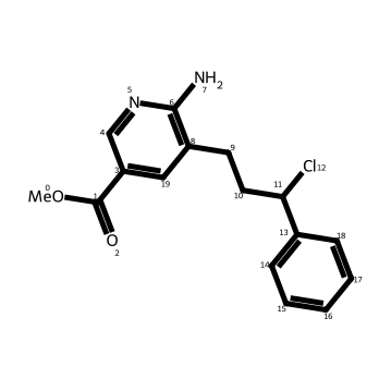 COC(=O)c1cnc(N)c(CCC(Cl)c2ccccc2)c1